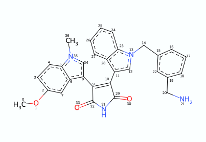 COc1ccc2c(c1)c(C1=C(c3cn(Cc4cccc(CN)c4)c4ccccc34)C(=O)NC1=O)cn2C